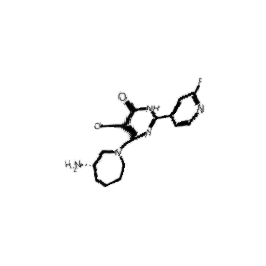 N[C@H]1CCCCN(c2nc(-c3ccnc(F)c3)[nH]c(=O)c2Cl)C1